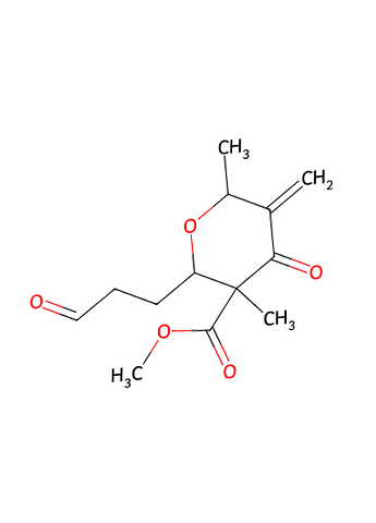 C=C1C(=O)C(C)(C(=O)OC)C(CCC=O)OC1C